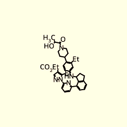 CCOC(=O)c1cnn(-c2cccc(-c3cccc4c3C(Nc3ccc(C5CCN(C(=O)C(C)O)CC5)c(CC)c3)CC4)n2)c1CC